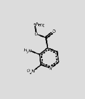 CCCCCOC(=O)c1ccnc([N+](=O)[O-])c1N